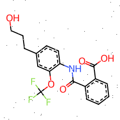 O=C(O)c1ccccc1C(=O)Nc1ccc(CCCO)cc1OC(F)(F)F